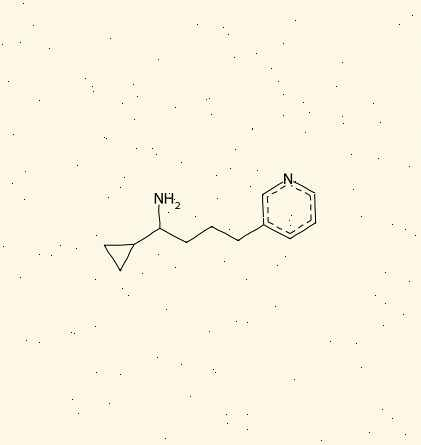 NC(CCCc1cccnc1)C1CC1